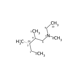 CC[C@H](C)C(C)CN(C)CC